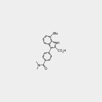 CN(C)C(=O)c1ccc(-c2c(C(=O)O)[nH]c3c(C(C)(C)C)cccc23)cc1